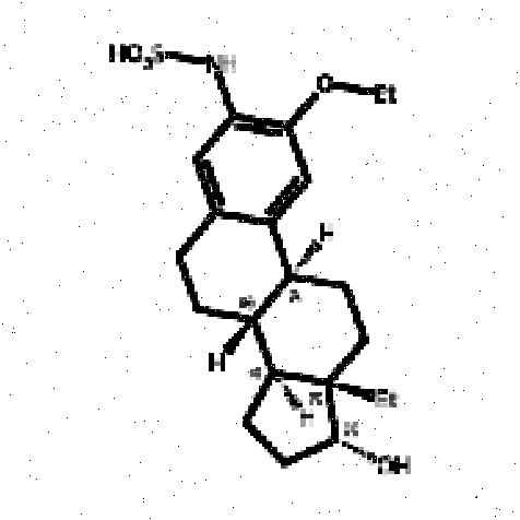 CCOc1cc2c(cc1NS(=O)(=O)O)CC[C@@H]1[C@@H]2CC[C@]2(CC)[C@H](O)CC[C@@H]12